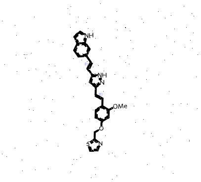 COc1cc(OCc2nccs2)ccc1/C=C/c1cc(/C=C/c2ccc3cc[nH]c3c2)[nH]n1